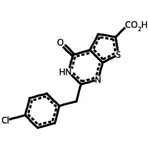 O=C(O)c1cc2c(=O)[nH]c(Cc3ccc(Cl)cc3)nc2s1